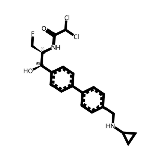 O=C(N[C@H](CF)[C@H](O)c1ccc(-c2ccc(CNC3CC3)cc2)cc1)C(Cl)Cl